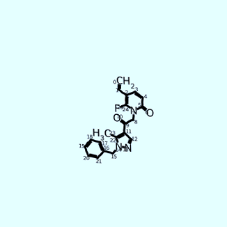 C=Cc1ccc(=O)n(CC(=O)c2cnn(Cc3ccccc3)c2C)c1F